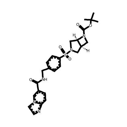 CC(C)(C)OC(=O)N1C[C@H]2CN(S(=O)(=O)c3ccc(CNC(=O)c4ccc5nccn5c4)cc3)C[C@H]21